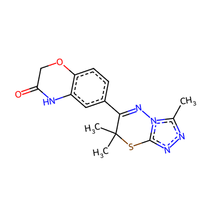 Cc1nnc2n1N=C(c1ccc3c(c1)NC(=O)CO3)C(C)(C)S2